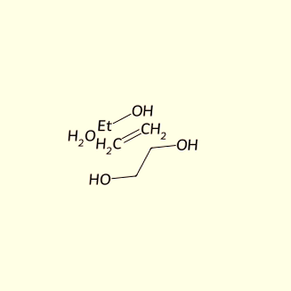 C=C.CCO.O.OCCO